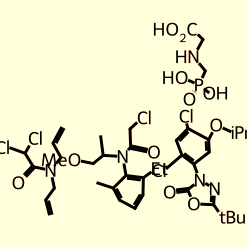 C=CCN(CC=C)C(=O)C(Cl)Cl.CC(C)Oc1cc(-n2nc(C(C)(C)C)oc2=O)c(Cl)cc1Cl.CCc1cccc(C)c1N(C(=O)CCl)C(C)COC.O=C(O)CNCP(=O)(O)O